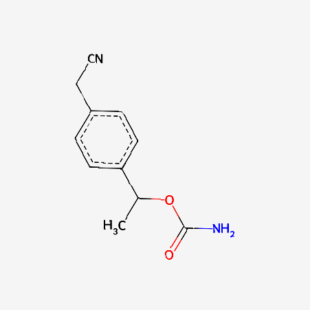 CC(OC(N)=O)c1ccc(CC#N)cc1